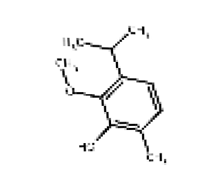 COc1c(C(C)C)ccc(C)c1O